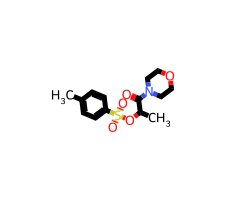 Cc1ccc(S(=O)(=O)OC(C)C(=O)N2CCOCC2)cc1